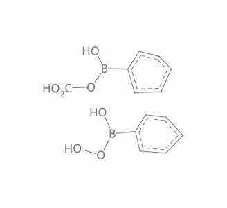 O=C(O)OB(O)c1ccccc1.OOB(O)c1ccccc1